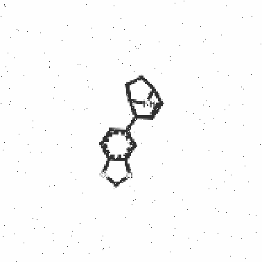 C1=CC(c2ccc3c(c2)OCO3)C2CCC1N2